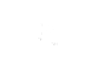 N#CC1C(CC2CCCC2)NCC1c1cccc(Cl)c1F